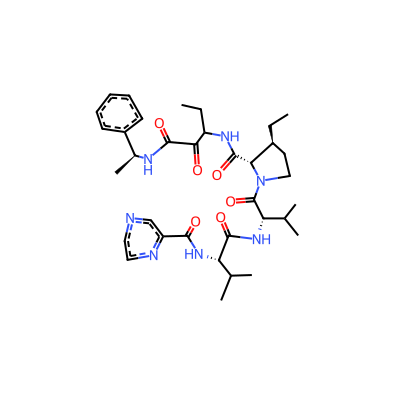 CCC(NC(=O)[C@@H]1[C@@H](CC)CCN1C(=O)[C@@H](NC(=O)[C@@H](NC(=O)c1cnccn1)C(C)C)C(C)C)C(=O)C(=O)N[C@@H](C)c1ccccc1